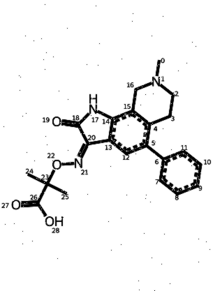 CN1CCc2c(-c3ccccc3)cc3c(c2C1)NC(=O)C3=NOC(C)(C)C(=O)O